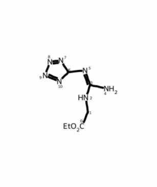 CCOC(=O)CNC(N)=NC1N=NN=N1